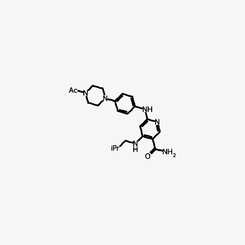 CC(=O)N1CCN(c2ccc(Nc3cc(NCC(C)C)c(C(N)=O)cn3)cc2)CC1